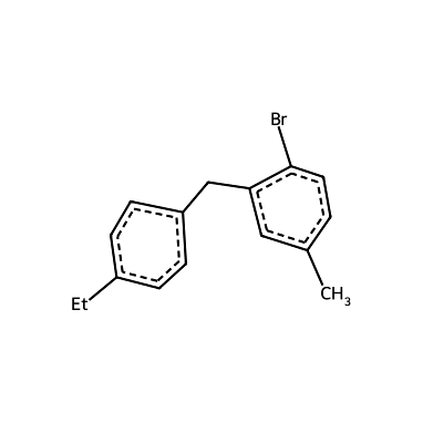 CCc1ccc(Cc2cc(C)ccc2Br)cc1